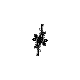 Cc1ccc(Oc2cc3c4c(cc(Oc5ccc(C)cc5)c5c6c(Oc7ccc(C)cc7)cc7c8c(cc(Oc9ccc(C)cc9)c(c2c45)c86)C(=O)N(C(CC(C)C)C(=O)NCCC(=O)OCC2CO2)C7=O)C(=O)N(C(CC(C)C)C(=O)NCCC(=O)OCC2CO2)C3=O)cc1